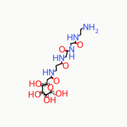 NCCNC(=O)CNC(=O)CNC(=O)CCNC(=O)C[C@H]1O[C@H](CO)[C@H](O)[C@H](O)[C@H]1O